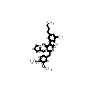 CCCCc1cc(O)c2sc3nc(Cc4ccc(OC)c(OC)c4)n(CC4CCCO4)c(=O)c3c2c1